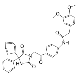 COc1ccc(CC(=O)Nc2ccc(C(=O)CN3C(=O)NC(c4ccccc4)(c4ccccc4)C3=O)cc2)cc1OC